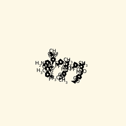 CC(=O)NS(=O)(=O)c1ccc(CNC(=O)c2c(C3N=CC=CC3C(N)=O)cc(C)n(-c3cccc(C(F)(F)F)c3)c2=O)cc1.Cc1c(I)cc(C(=O)NCc2ccc(S(=O)(=O)C(C)C)cc2)c(=O)n1-c1cccc(C(F)(F)F)c1.Cc1c(I)cc(C(=O)NCc2ccc(S(=O)(=O)C3CC3)cc2)c(=O)n1-c1cccc(C(F)(F)F)c1